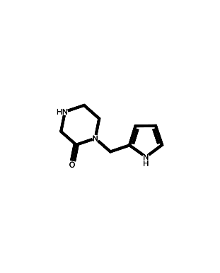 O=C1CNCCN1Cc1ccc[nH]1